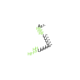 F.F.F.F.F.F.[As-3].[Li+].[Li+].[Li+].[Li+].[Li+].[Li+].[Li+].[Li+].[Li+]